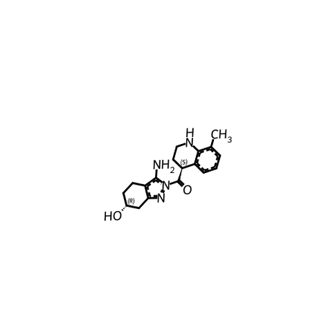 Cc1cccc2c1NCC[C@@H]2C(=O)n1nc2c(c1N)CC[C@@H](O)C2